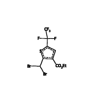 CCOC(=O)c1cc(C(F)(F)C(F)(F)F)sc1C(Br)Br